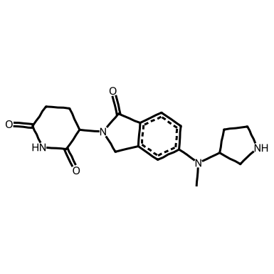 CN(c1ccc2c(c1)CN(C1CCC(=O)NC1=O)C2=O)C1CCNC1